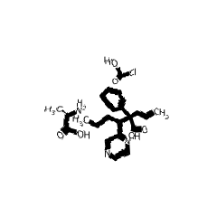 C=CCC(C(=O)O)(c1ccccc1)C(CCC)c1cnccn1.C[C@H](N)C(=O)O.O=C(O)Cl